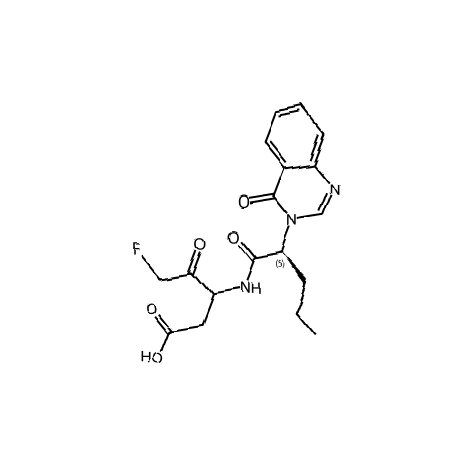 CCC[C@@H](C(=O)NC(CC(=O)O)C(=O)CF)n1cnc2ccccc2c1=O